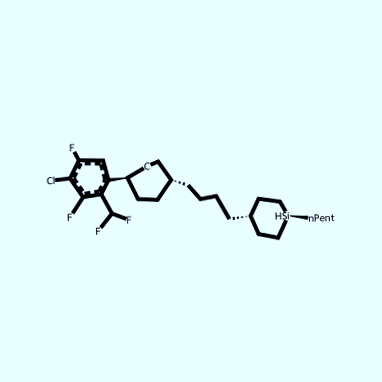 CCCCC[Si@H]1CC[C@H](CCCC[C@H]2CC[C@H](c3cc(F)c(Cl)c(F)c3C(F)F)CC2)CC1